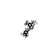 NC(=O)c1cc([N+](=O)[O-])cc2c(NCc3ccc(Cl)c(C(F)(F)F)c3)ncnc12